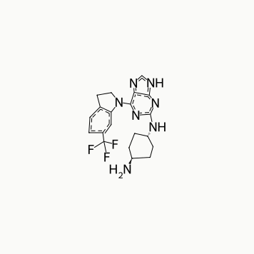 N[C@H]1CC[C@H](Nc2nc(N3CCc4ccc(C(F)(F)F)cc43)c3nc[nH]c3n2)CC1